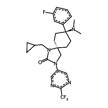 CN(C)[C@]1(c2cccc(F)c2)CC[C@]2(CC1)CN(c1cnc(C(F)(F)F)nc1)C(=O)N2CC1CC1